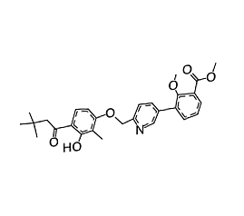 COC(=O)c1cccc(-c2ccc(COc3ccc(C(=O)CC(C)(C)C)c(O)c3C)nc2)c1OC